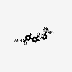 COC(=O)c1ccc(F)c(-c2ccc3c(c2)C(=O)N(c2cccc(-c4nncn4C(C)C)n2)C3)c1